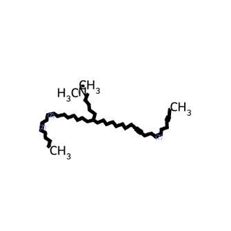 CCC#CCC/C=C\CCC#CCCCCCCCCC(CCCCCCC/C=C\C/C=C\CCCCC)CCCCCN(C)C